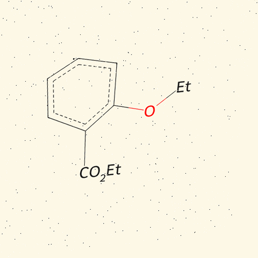 CCOC(=O)c1cc[c]cc1OCC